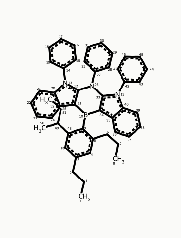 CCCc1cc(CCC)c(B2c3c(n(-c4ccccc4)c4ccccc34)N(c3ccccc3)c3c2c2ccccc2n3-c2ccccc2)c(C(C)CC)c1